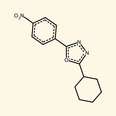 O=[N+]([O-])c1ccc(-c2nnc(C3CCCCC3)o2)cc1